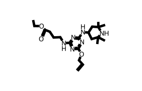 C=CCOc1nc(NCCCC(=O)OCC)nc(NC2CC(C)(C)NC(C)(C)C2)n1